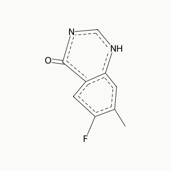 Cc1cc2[nH]cnc(=O)c2cc1F